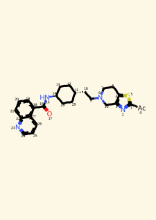 CC(=O)c1nc2c(s1)CCN(CC[C@H]1CC[C@H](NC(=O)c3cccc4ncccc34)CC1)C2